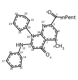 CCCCCC(=O)c1cc(C)c2c(=O)cc(Nc3ccccc3)n(-c3ccccc3)c2n1